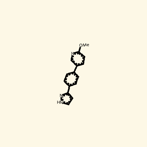 COc1ccc(-c2ccc(-c3cc[nH]n3)cc2)cn1